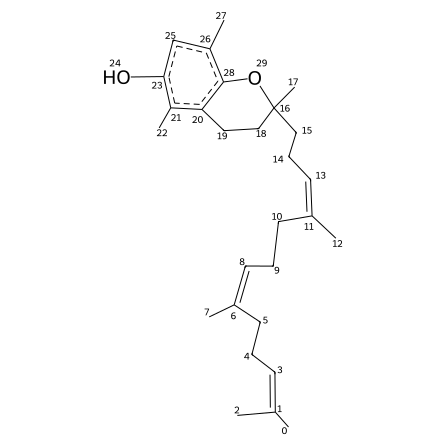 CC(C)=CCCC(C)=CCCC(C)=CCCC1(C)CCc2c(C)c(O)cc(C)c2O1